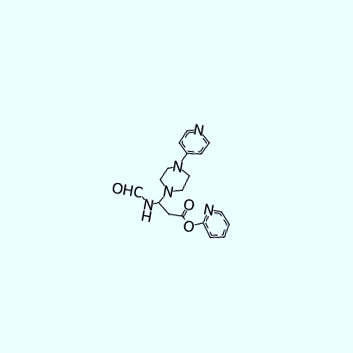 O=CNC(CC(=O)Oc1ccccn1)N1CCN(c2ccncc2)CC1